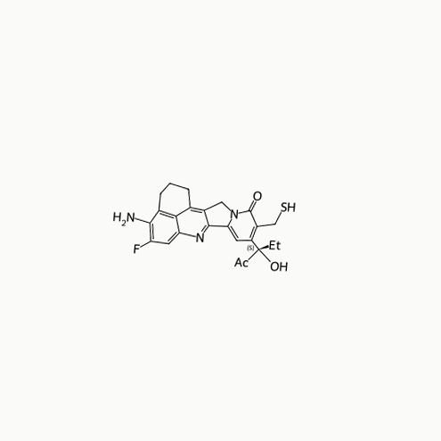 CC[C@@](O)(C(C)=O)c1cc2n(c(=O)c1CS)Cc1c-2nc2cc(F)c(N)c3c2c1CCC3